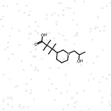 CC(O)CN1CCCC(C(C)(C)C(C)(C)C(=O)O)C1